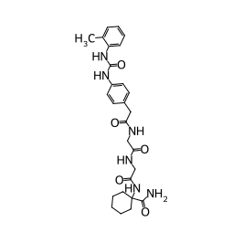 Cc1ccccc1NC(=O)Nc1ccc(CC(=O)NCC(=O)NCC(=O)NC2(C(N)=O)CCCCC2)cc1